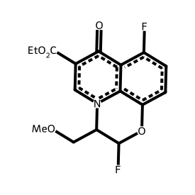 CCOC(=O)c1cn2c3c(ccc(F)c3c1=O)OC(F)C2COC